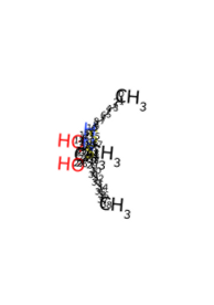 CCCCCCCCCCCC(CCO)SC(CC)NC(CC)SC(CCO)CCCCCCCCCCC